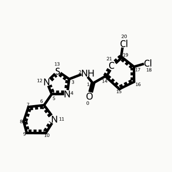 O=C(Nc1nc(-c2ccccn2)ns1)c1ccc(Cl)c(Cl)c1